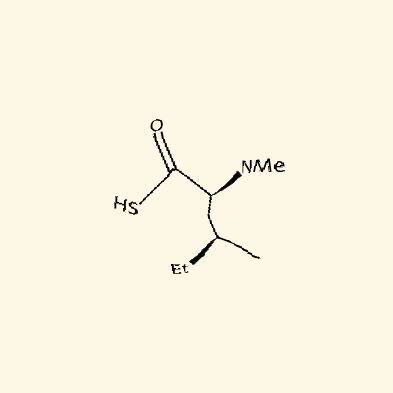 CC[C@H](C)[C@H](NC)C(=O)S